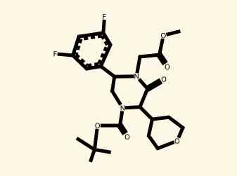 COC(=O)CN1C(=O)C(C2CCOCC2)N(C(=O)OC(C)(C)C)CC1c1cc(F)cc(F)c1